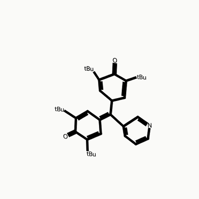 CC(C)(C)C1=CC(=C(c2cccnc2)C2C=C(C(C)(C)C)C(=O)C(C(C)(C)C)=C2)C=C(C(C)(C)C)C1=O